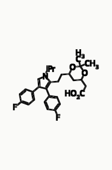 CC(C)n1cc(-c2ccc(F)cc2)c(-c2ccc(F)cc2)c1CCC1CC(CC(=O)O)OC(C)(C)O1